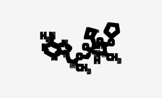 C[C@H](Cn1cnc2c(N)ncnc21)OCP(=O)(NC1[CH]CC1)N[C@H](C)C(=O)OC1CCCC1